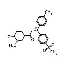 Cc1ccc([C@@H](CC(=O)C2CCC(=O)N(C)C2)c2ccc(S(C)(=O)=O)cc2)cc1